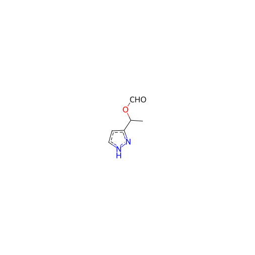 CC(OC=O)c1cc[nH]n1